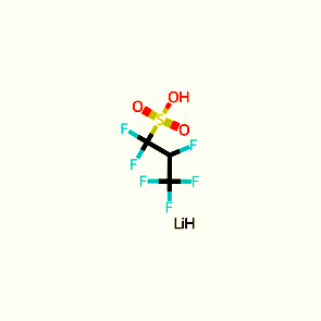 O=S(=O)(O)C(F)(F)C(F)C(F)(F)F.[LiH]